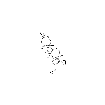 C[C@H]1CC[C@@]2(C)C(=CC[C@H]3C4=CC(C=O)=C(Cl)[C@@]4(C)CCC32)C1